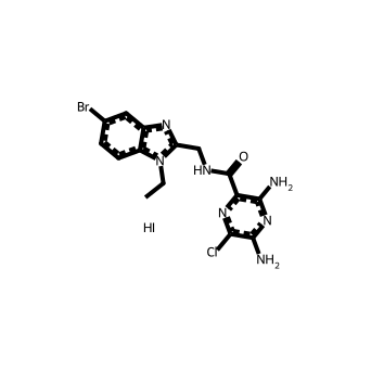 CCn1c(CNC(=O)c2nc(Cl)c(N)nc2N)nc2cc(Br)ccc21.I